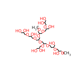 COCC(O)COC(CO)CCOCC(COC(COCC(O)COCC(O)CO)COC(COC)COCC(CO)OCC(O)CO)OCC(O)CO